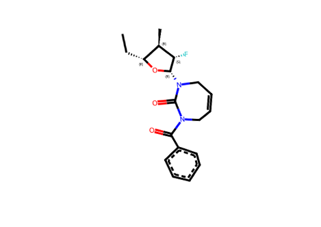 CC[C@H]1O[C@@H](N2CC=CCN(C(=O)c3ccccc3)C2=O)[C@@H](F)[C@@H]1C